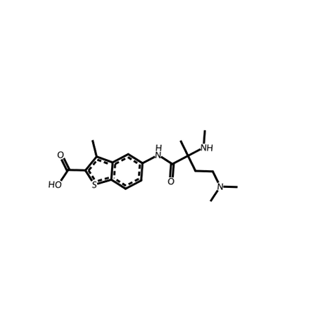 CNC(C)(CCN(C)C)C(=O)Nc1ccc2sc(C(=O)O)c(C)c2c1